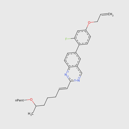 C=CCOc1ccc(-c2ccc3nc(C=CCCCC(C)OCCCCC)ncc3c2)c(F)c1